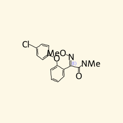 CNC(=O)/C(=N/OC)c1ccccc1Oc1ccc(Cl)cc1